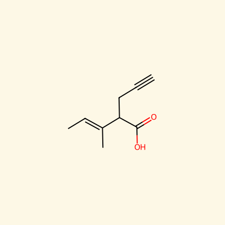 C#CCC(C(=O)O)C(C)=CC